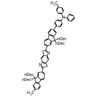 CCCCCCCCCCC1(CCCCCCCCCC)c2cc(C)ccc2-c2ccc(-c3nc4cc5sc(-c6ccc7c(c6)C(CCCCCCCCCC)(CCCCCCCCCC)c6cc(-c8ccc(N(c9ccccc9)c9ccc(C)cc9)cc8)ccc6-7)nc5cc4s3)cc21